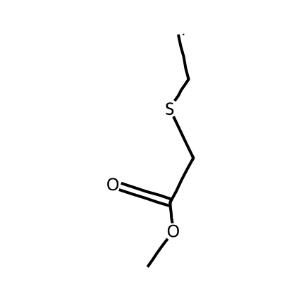 [CH2]CSCC(=O)OC